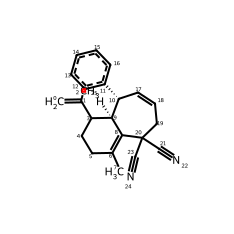 C=C(C)C1CCC(C)=C2[C@@H]1[C@H](c1ccccc1)C=CCC2(C#N)C#N